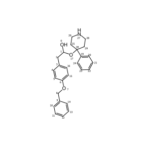 OC(Cc1ccc(OCc2ccccc2)cc1)OC1(c2ccccc2)CCNCC1